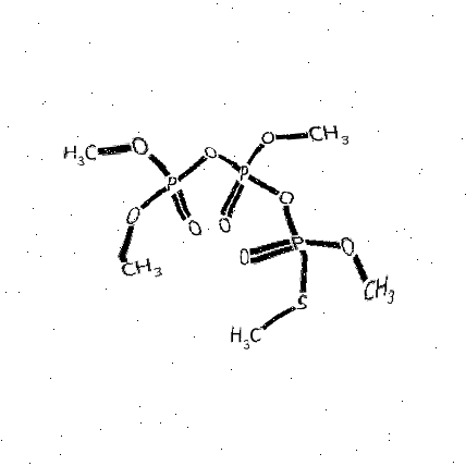 COP(=O)(OC)OP(=O)(OC)OP(=O)(OC)SC